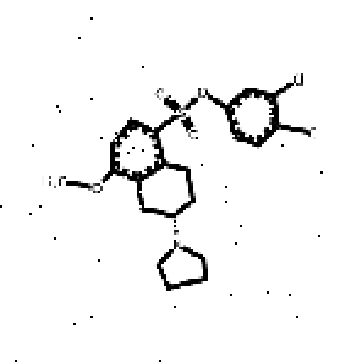 COc1ccc(S(=O)(=O)Oc2ccc(Cl)c(Cl)c2)c2c1C[C@@H](N1CCCC1)CC2